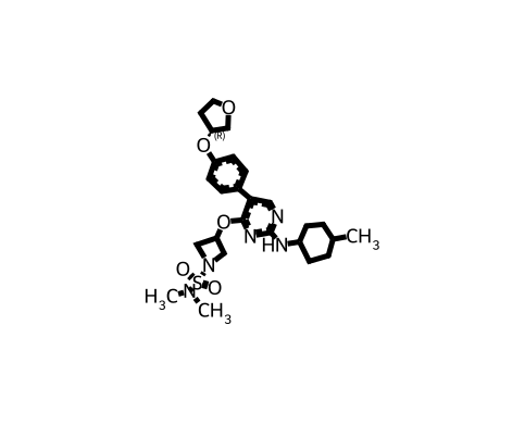 CC1CCC(Nc2ncc(-c3ccc(O[C@@H]4CCOC4)cc3)c(OC3CN(S(=O)(=O)N(C)C)C3)n2)CC1